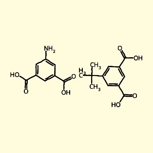 CC(C)(C)c1cc(C(=O)O)cc(C(=O)O)c1.Nc1cc(C(=O)O)cc(C(=O)O)c1